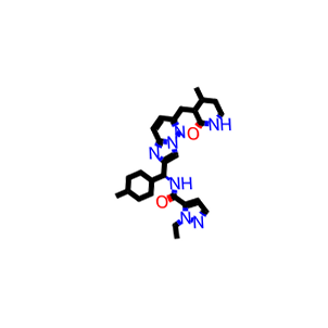 CCn1nccc1C(=O)N[C@H](c1cn2nc(CC3C(=O)NCCC3C)ccc2n1)C1CCC(C)CC1